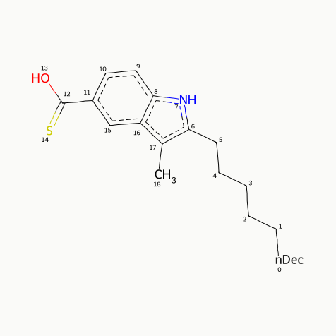 CCCCCCCCCCCCCCCc1[nH]c2ccc(C(O)=S)cc2c1C